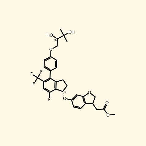 COC(=O)CC1COc2cc(O[C@H]3CCc4c(-c5ccc(OC[C@@H](O)C(C)(C)O)cc5)c(C(F)(F)F)cc(F)c43)ccc21